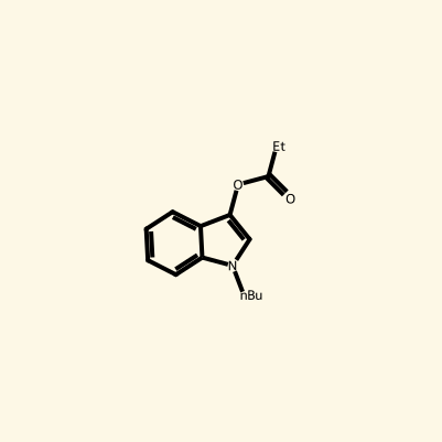 CCCCn1cc(OC(=O)CC)c2ccccc21